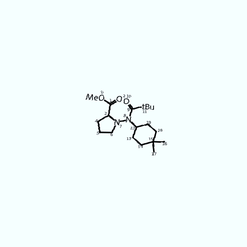 COC(=O)C1CCCN1N(C(=O)C(C)(C)C)C1CCC(C)(C)CC1